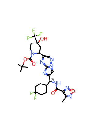 Cc1nonc1C(=O)N[C@H](c1cn2ncc(C3CC(O)(C(F)(F)F)CCN3C(=O)OC(C)(C)C)nc2n1)C1CCC(F)(F)CC1